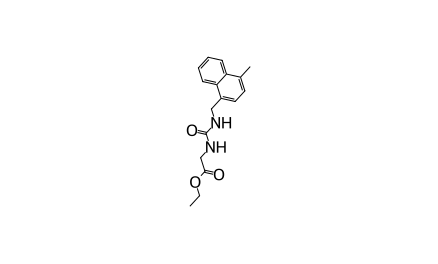 CCOC(=O)CNC(=O)NCc1ccc(C)c2ccccc12